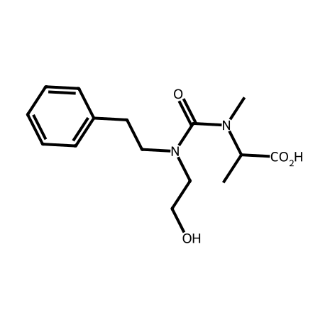 CC(C(=O)O)N(C)C(=O)N(CCO)CCc1ccccc1